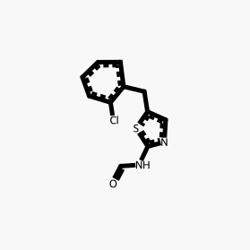 O=CNc1ncc(Cc2ccccc2Cl)s1